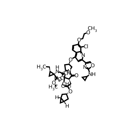 CC[C@@H]1C[C@]1(NC(=O)[C@@H]1C[C@@H](Oc2cc(-c3coc(NC4CC4)n3)nc3c(Cl)c(OCCOC)ccc23)CN1C(=O)[C@@H](CC(=O)O[C@@H]1C[C@@H]2C[C@@H]2C1)C(C)(C)C)C(=O)OC